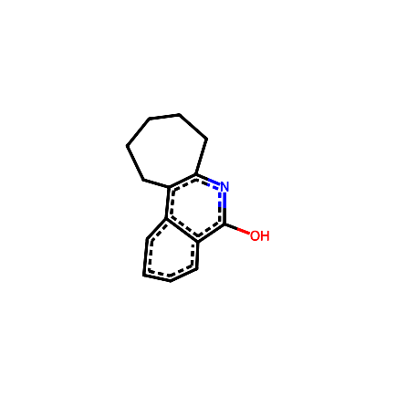 Oc1nc2c(c3ccccc13)CCCCC2